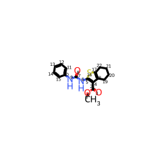 COC(=O)c1c(NC(=O)Nc2ccccc2)sc2c1CCCC2